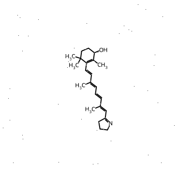 CC1=C(/C=C/C(C)=C/C=C/C(C)=C/C2=NCCC2)C(C)(C)CCC1O